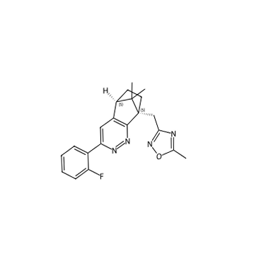 Cc1nc(C[C@]23CC[C@H](c4cc(-c5ccccc5F)nnc42)C3(C)C)no1